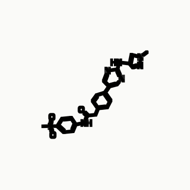 Cn1cc(Nc2ncc(-c3ccc(CC(=O)Nc4ccc(S(C)(=O)=O)cc4)cc3)cn2)cn1